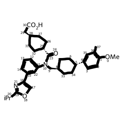 COc1ccc([C@H]2CC[C@H](CN(c3cccc(-c4coc(C(C)C)n4)c3)C(=O)[C@H]3CC[C@H](CC(=O)O)CC3)CC2)cc1C